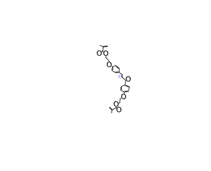 C=C(C)C(=O)OCCOc1ccc(/C=C/C(=O)c2ccc(OCCOC(=O)C(=C)C)cc2)cc1